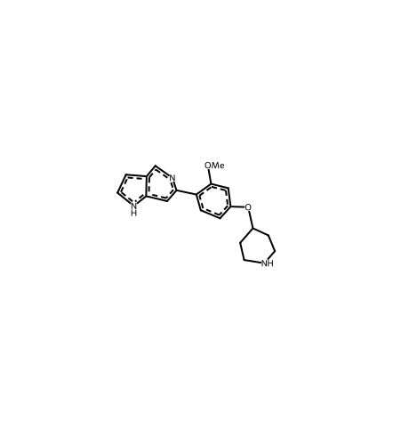 COc1cc(OC2CCNCC2)ccc1-c1cc2[nH]ccc2cn1